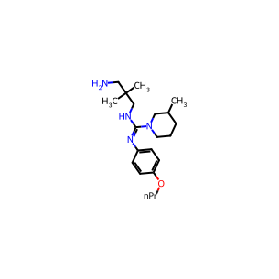 CCCOc1ccc(/N=C(/NCC(C)(C)CN)N2CCCC(C)C2)cc1